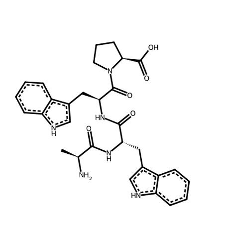 C[C@H](N)C(=O)N[C@@H](Cc1c[nH]c2ccccc12)C(=O)N[C@@H](Cc1c[nH]c2ccccc12)C(=O)N1CCC[C@H]1C(=O)O